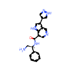 NC[C@@H](NC(=O)c1cncc2c(-c3cn[nH]c3)c[nH]c12)c1ccccc1